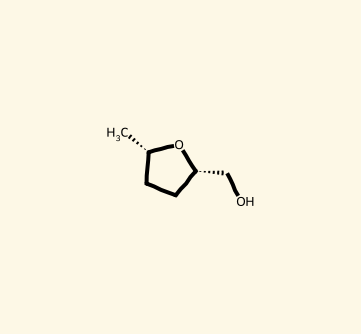 C[C@H]1CC[C@@H](CO)O1